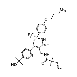 C/N=C/C(C)(C)C(=O)NCC1=C(c2ccc(C(C)(C)O)cn2)C[C@](c2ccc(OCCCC(F)(F)F)cc2)(C(F)(F)F)NC1=O